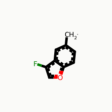 [CH2]c1ccc2occ(F)c2c1